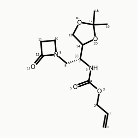 C=CCOC(=O)N[C@H](CN1CCC1=O)C1COC(C)(C)O1